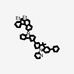 CCC1(CC)c2ccccc2-c2c1ccc1ccc(-n3c4ccccc4c4cc(-c5ccc6c(c5)C(C)(C)c5cc(-c7ccccc7)ccc5N6c5ccccn5)ccc43)cc21